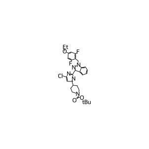 CCOc1cc(F)c(Cn2nc(-c3nc(Cl)cc(C4CCN(C(=O)OC(C)(C)C)CC4)n3)c3ccccc32)c(F)c1